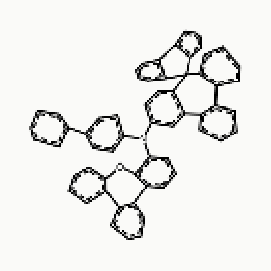 c1ccc(-c2ccc(N(c3ccc4c(c3)-c3ccccc3-c3ccccc3C43c4ccccc4-c4ccccc43)c3cccc4c3Oc3ccccc3-c3ccccc3-4)cc2)cc1